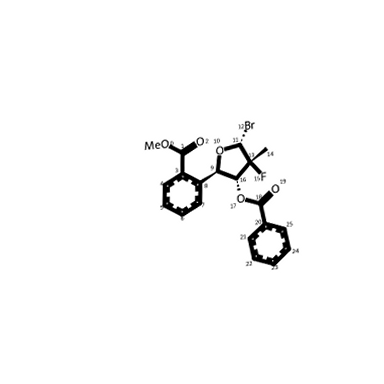 COC(=O)c1ccccc1[C@H]1O[C@H](Br)[C@](C)(F)[C@@H]1OC(=O)c1ccccc1